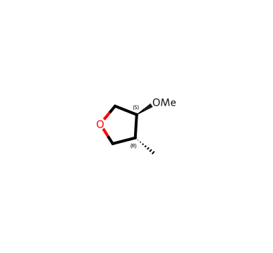 CO[C@@H]1COC[C@H]1C